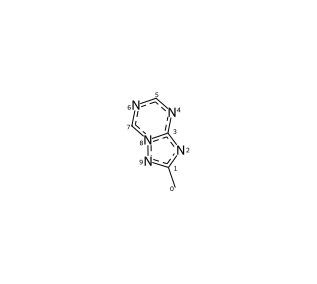 Cc1nc2ncncn2n1